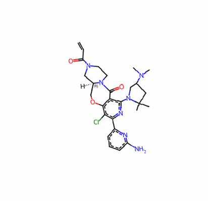 C=CC(=O)N1CCN2C(=O)c3c(N4CC(N(C)C)CC4(C)C)nc(-c4cccc(N)n4)c(Cl)c3OC[C@H]2C1